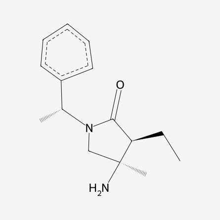 CC[C@@H]1C(=O)N([C@H](C)c2ccccc2)C[C@]1(C)N